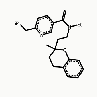 C=C(c1ccc(CC(C)C)nc1)N(CC)CCC1(C)CCc2ccccc2O1